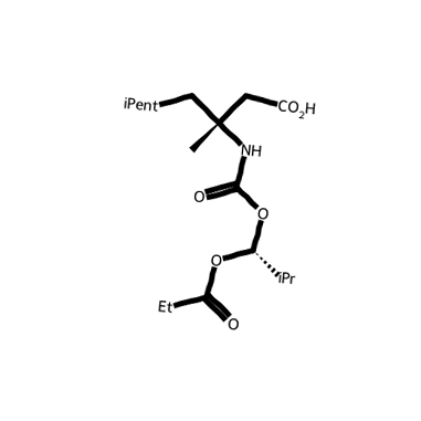 CCCC(C)C[C@](C)(CC(=O)O)NC(=O)O[C@@H](OC(=O)CC)C(C)C